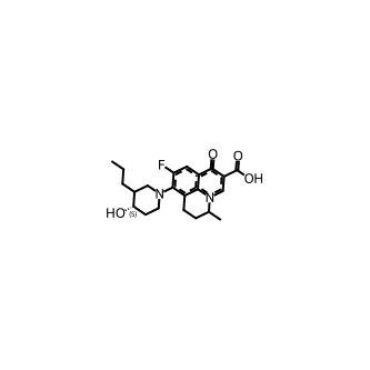 CCCC1CN(c2c(F)cc3c(=O)c(C(=O)O)cn4c3c2CCC4C)CC[C@@H]1O